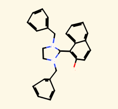 Oc1ccc2ccccc2c1C1N(Cc2ccccc2)CCN1Cc1ccccc1